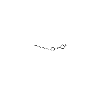 CCCCCCCCC[C@H]1CC[C@H](C#Cc2ccc(F)cc2)CC1